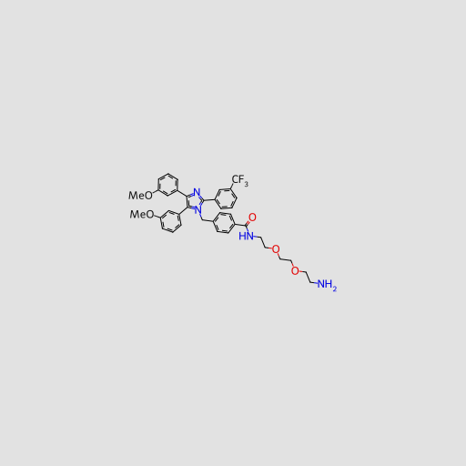 COc1cccc(-c2nc(-c3cccc(C(F)(F)F)c3)n(Cc3ccc(C(=O)NCCOCCOCCN)cc3)c2-c2cccc(OC)c2)c1